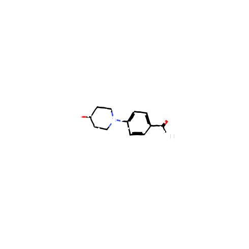 CC(=O)c1ccc(N2CCC(O)CC2)cc1